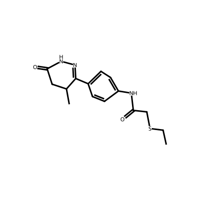 CCSCC(=O)Nc1ccc(C2=NNC(=O)CC2C)cc1